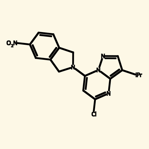 CC(C)c1cnn2c(N3Cc4ccc([N+](=O)[O-])cc4C3)cc(Cl)nc12